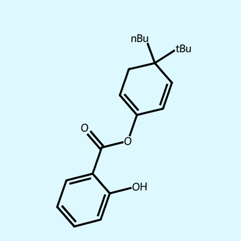 CCCCC1(C(C)(C)C)C=CC(OC(=O)c2ccccc2O)=CC1